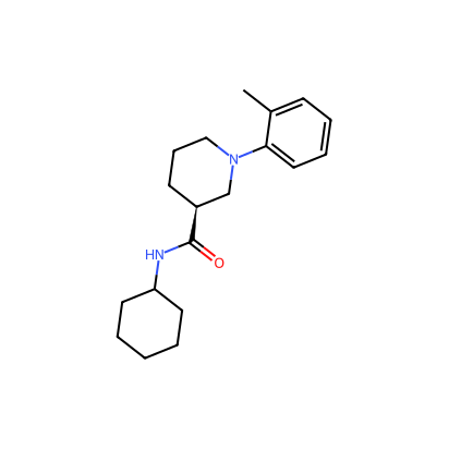 Cc1ccccc1N1CCC[C@H](C(=O)NC2CCCCC2)C1